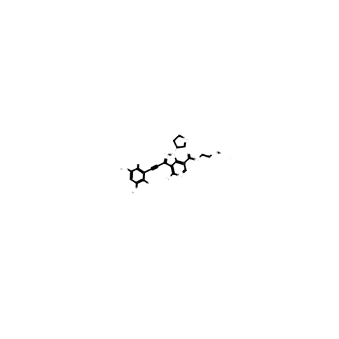 COCCNC(=O)c1cnc(N)c2c(C#Cc3c(F)c(OC)cc(OC)c3F)nn([C@H]3CCNC3)c12